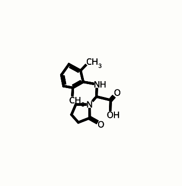 Cc1cccc(C)c1NC(C(=O)O)N1CCCC1=O